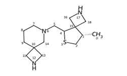 C[C@@H]1CSC(CN2CCCC3(CNC3)C2)C12CNC2